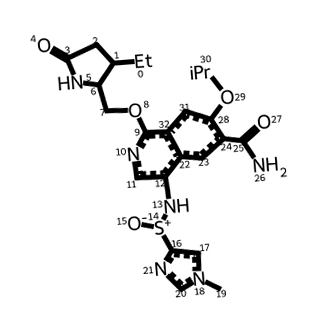 CCC1CC(=O)NC1COc1ncc(N[S+]([O-])c2cn(C)cn2)c2cc(C(N)=O)c(OC(C)C)cc12